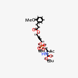 COc1ccccc1CCC(=O)OCC#CCOP(=O)(OC[C@H](NC(=O)OC(C)(C)C)C(C)=O)OC(C)(C)C